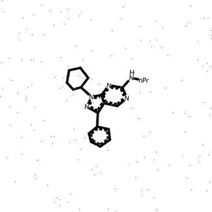 CCCNc1ncc2c(-c3ccccc3)nn(C3CCCCC3)c2n1